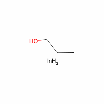 CCCO.[InH3]